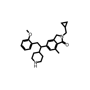 COc1ccccc1CC(c1cc(C)c2c(c1)CN(CC1CC1)C2=O)C1CCNCC1